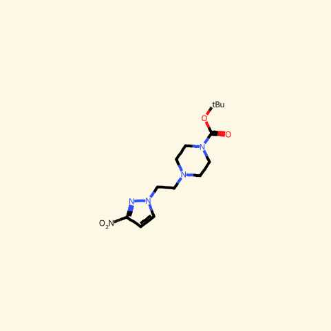 CC(C)(C)OC(=O)N1CCN(CCn2ccc([N+](=O)[O-])n2)CC1